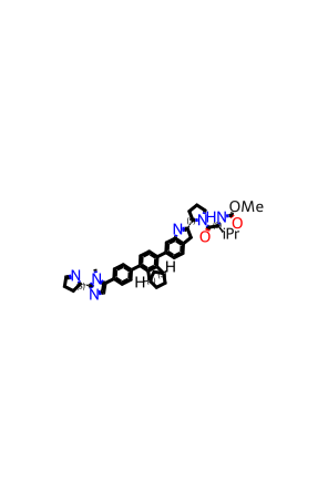 COC(=O)N[C@H](C(=O)N1CCC[C@H]1C1=Nc2cc(-c3ccc(-c4ccc(-c5cnc([C@@H]6CCC=N6)n5C)cc4)c4c3[C@H]3CC[C@@H]4C3)ccc2C1)C(C)C